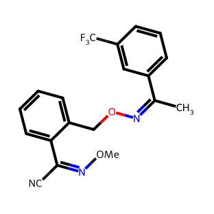 CO/N=C(/C#N)c1ccccc1CO/N=C(/C)c1cccc(C(F)(F)F)c1